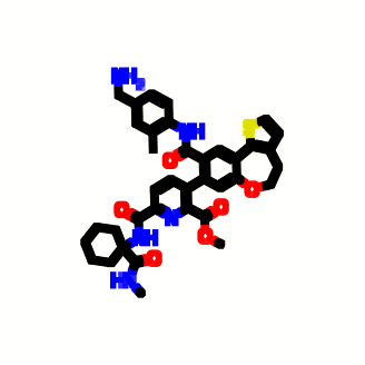 CNC(=O)C1(NC(=O)c2ccc(-c3cc4c(cc3C(=O)Nc3ccc(CN)cc3C)-c3sccc3CCO4)c(C(=O)OC)n2)CCCCC1